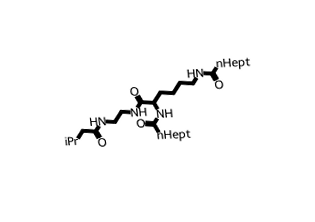 CCCCCCCC(=O)NCCCCC(NC(=O)CCCCCCC)C(=O)NCCNC(=O)CC(C)C